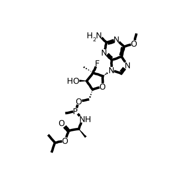 COc1nc(N)nc2c1ncn2[C@@H]1O[C@H](COP(C)N[C@@H](C)C(=O)OC(C)C)[C@@H](O)[C@@]1(C)F